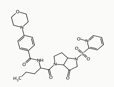 CCCC(NC(=O)c1ccc(N2CCOCC2)cc1)C(=O)N1CCC2C1C(=O)CN2S(=O)(=O)c1cccc[n+]1[O-]